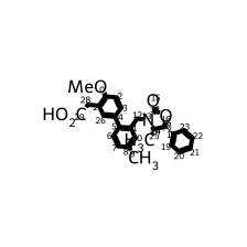 COc1ccc(-c2ccc(C)cc2CN2C(=O)O[C@H](c3ccccc3)[C@@H]2C)cc1CC(=O)O